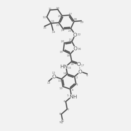 COc1cc(NCCCF)cc(OC)c1NC(=O)c1ccc(Oc2cc3c(cc2C)CCCC3(C)C)o1